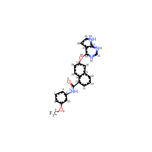 O=C(Nc1cccc(OC(F)(F)F)c1)c1cccc2cc(Oc3ncnc4[nH]ccc34)ccc12